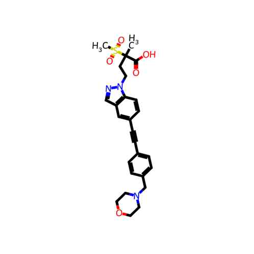 CC(CCn1ncc2cc(C#Cc3ccc(CN4CCOCC4)cc3)ccc21)(C(=O)O)S(C)(=O)=O